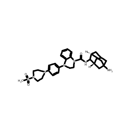 CS(=O)(=O)N1CCN(c2ccc(N3CCN(C(=O)NC4[C@@H]5CC6C[C@H]4CC(N)(C6)C5)c4ccccc43)cc2)CC1